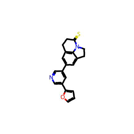 S=C1CCc2cc(-c3cncc(-c4ccco4)c3)cc3c2N1CC3